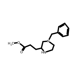 COC(=O)CCC1CN(Cc2ccccc2)CCN1